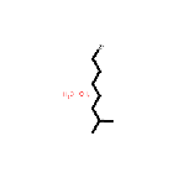 CC(C)CCCC[CH2][Zr].O.O